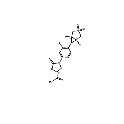 NC(=O)[C@H]1CN(c2ccc([C@H]3[C@@H]4CS(=O)(=O)C[C@@H]43)c(F)c2)C(=O)O1